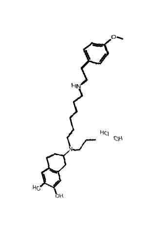 CCCN(CCCCCCNCCc1ccc(OC)cc1)C1CCc2cc(O)c(O)cc2C1.Cl.Cl